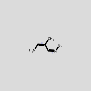 CC/N=C\C(C)=C/N